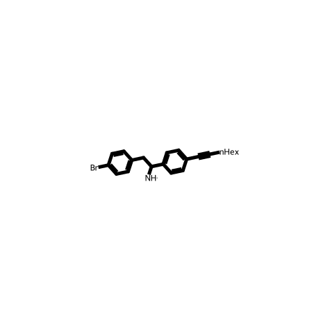 CCCCCCC#Cc1ccc(C([NH])Cc2ccc(Br)cc2)cc1